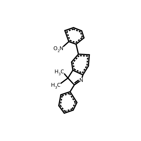 CC1(C)C(c2ccccc2)=Nc2ccc(-c3ccccc3[N+](=O)[O-])cc21